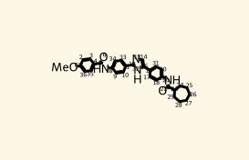 COc1ccc(C(=O)Nc2ccc(-c3ncc(-c4ccc(NC(=O)C5CCCCCC5)cc4)[nH]3)cc2)cc1